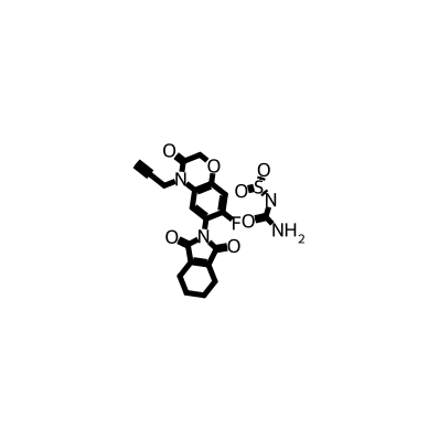 C#CCN1C(=O)COc2cc(F)c(N3C(=O)C4=C(CCCC4)C3=O)cc21.NC(=O)N=S(=O)=O